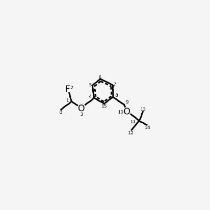 CC(F)Oc1cccc(COC(C)(C)C)c1